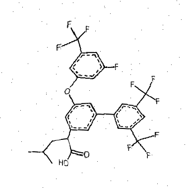 CC(C)CC(C(=O)O)c1cc(Oc2cc(F)cc(C(F)(F)F)c2)cc(-c2cc(C(F)(F)F)cc(C(F)(F)F)c2)c1